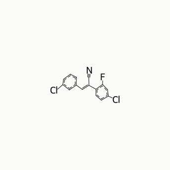 N#C/C(=C\c1cccc(Cl)c1)c1ccc(Cl)cc1F